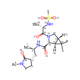 CC(=O)N1CC[C@@H](C[C@@H](C#N)NC(=O)[C@@H]2[C@@H]3[C@H](CN2C(=O)[C@@H](NS(C)(=O)=O)C(C)(C)C)C3(C)C)C1=O